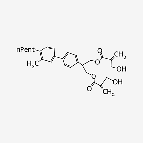 C=C(CO)C(=O)OCC(COC(=O)C(=C)CO)c1ccc(-c2ccc(CCCCC)c(C)c2)cc1